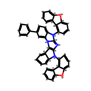 c1ccc(-c2ccc3c(c2)n2c4c5ccccc5n(-c5cccc6oc7ccccc7c56)c4nc2n3-c2cccc3oc4ccccc4c23)cc1